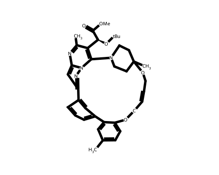 COC(=O)[C@@H](OC(C)(C)C)c1c(C)nc2cc3nn2c1N1CCC(C)(CC1)OCC=CCOc1ccc(C)cc1-c1cccc-3c1